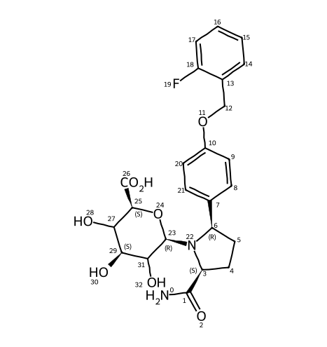 NC(=O)[C@@H]1CC[C@H](c2ccc(OCc3ccccc3F)cc2)N1[C@@H]1O[C@H](C(=O)O)C(O)[C@H](O)C1O